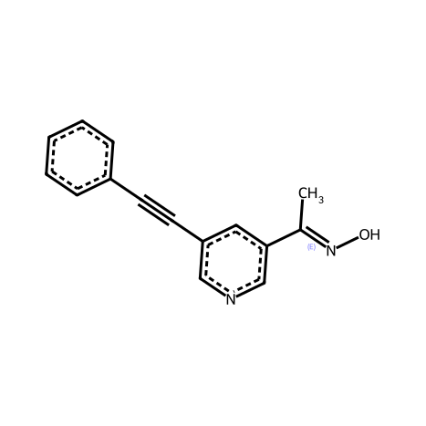 C/C(=N\O)c1cncc(C#Cc2ccccc2)c1